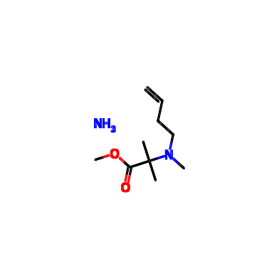 C=CCCN(C)C(C)(C)C(=O)OC.N